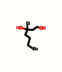 CCC(C)CCCC(O)(CC)CCO